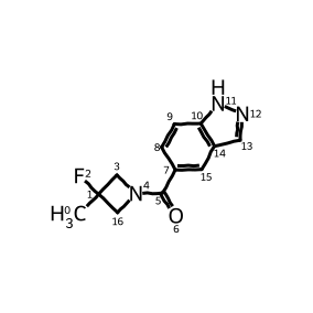 CC1(F)CN(C(=O)c2ccc3[nH]ncc3c2)C1